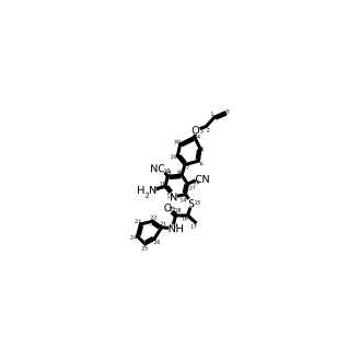 C=CCOc1ccc(-c2c(C#N)c(N)nc(SC(C)C(=O)Nc3ccccc3)c2C#N)cc1